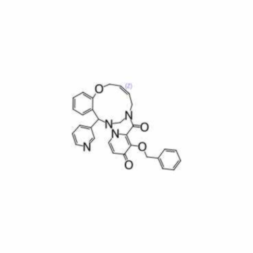 O=C1c2c(OCc3ccccc3)c(=O)ccn2N2CN1C/C=C\COc1ccccc1C2c1cccnc1